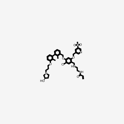 C=CC(=O)NCCNCc1cc(Cl)c(OCc2cccc(-c3cccc(OCCCN4CC[C@@H](O)C4)c3C)c2C)cc1OCc1cncc(S(C)(=O)=O)c1